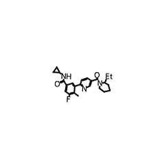 CCC1CCCCN1C(=O)c1ccc(-c2cc(C(=O)NC3CC3)cc(F)c2C)nc1